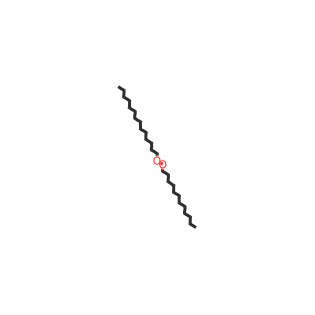 CCCCCCCCCCCCCCOOCCCCCCCCCCCC